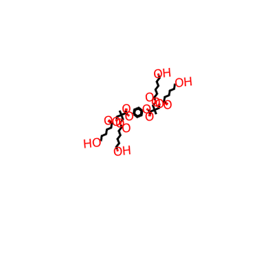 CC(COC(=O)CCCCCO)(COC(=O)CCCCCO)C(=O)Oc1ccc(OC(=O)C(C)(COC(=O)CCCCCO)COC(=O)CCCCCO)cc1